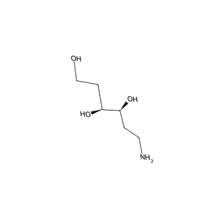 NCC[C@H](O)[C@@H](O)CCO